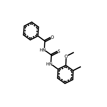 COc1c(C)cccc1NC(=S)NC(=O)c1ccccc1